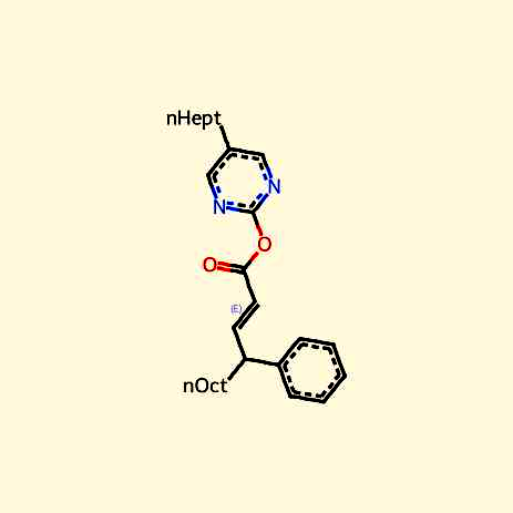 CCCCCCCCC(/C=C/C(=O)Oc1ncc(CCCCCCC)cn1)c1ccccc1